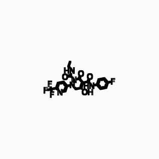 CCNC(=O)N1C(=O)C(C(=O)Nc2ccc(F)cc2)=C(O)CN1c1ccc(C(F)(F)F)nc1